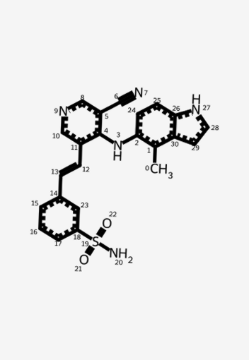 Cc1c(Nc2c(C#N)cncc2C=Cc2cccc(S(N)(=O)=O)c2)ccc2[nH]ccc12